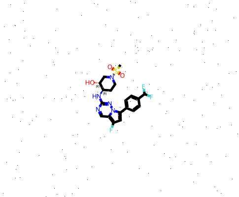 CS(=O)(=O)N1CC[C@@H](Nc2ncc3c(F)cc(-c4ccc(C(F)F)cc4)n3n2)[C@H](O)C1